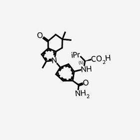 Cc1cc2c(n1-c1ccc(C(N)=O)c(N[C@H](C(=O)O)C(C)C)c1)CC(C)(C)CC2=O